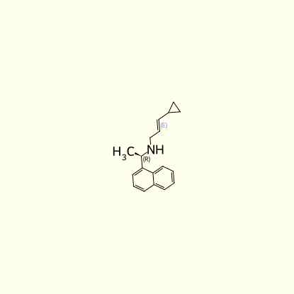 C[C@@H](NC/C=C/C1CC1)c1cccc2ccccc12